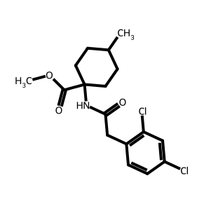 COC(=O)C1(NC(=O)Cc2ccc(Cl)cc2Cl)CCC(C)CC1